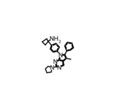 Cc1c(-c2ccccc2)n(-c2ccc(C3(N)CCC3)cc2)c2nc(N3CCCC3)ncc12